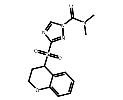 CN(C)C(=O)n1cnc(S(=O)(=O)C2CCOc3ccccc32)n1